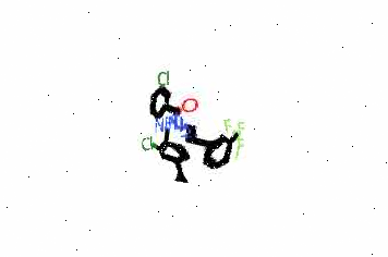 Nc1ccc(Cl)cc1C(=O)N(CCc1cccc(C(F)(F)F)c1)Cc1ccc(C2CC2)cc1Cl